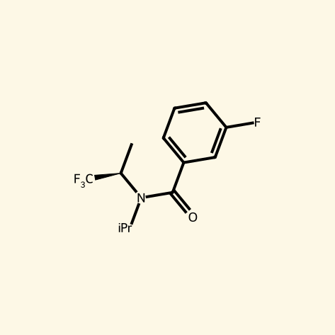 CC(C)N(C(=O)c1cccc(F)c1)[C@H](C)C(F)(F)F